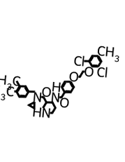 Cc1cc(Cl)c(OCCOc2ccc(C(=O)N[C@@H]3CCNCC3C(=O)N(Cc3ccc(C)c(C)c3)C3CC3)cc2)c(Cl)c1